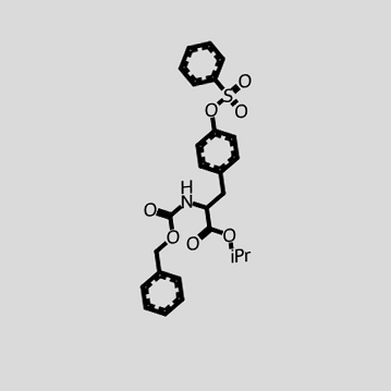 CC(C)OC(=O)C(Cc1ccc(OS(=O)(=O)c2ccccc2)cc1)NC(=O)OCc1ccccc1